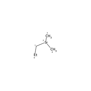 CCC[Si](C)C